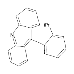 CC(C)c1ccccc1-c1c2ccccc2nc2ccccc12